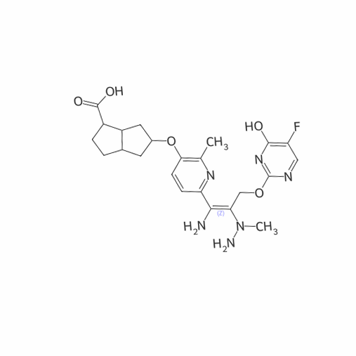 Cc1nc(/C(N)=C(\COc2ncc(F)c(O)n2)N(C)N)ccc1OC1CC2CCC(C(=O)O)C2C1